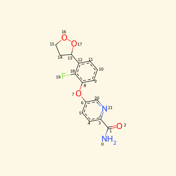 NC(=O)c1ccc(Oc2cccc(C3CCOO3)c2F)cn1